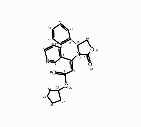 O=C([C]=C(c1cccnc1)N1C(=O)OC[C@H]1c1ccccc1)OC1CCCC1